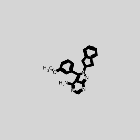 COc1cccc(-c2c3c(N)ncnc3nn2C2Cc3ccccc3C2)c1